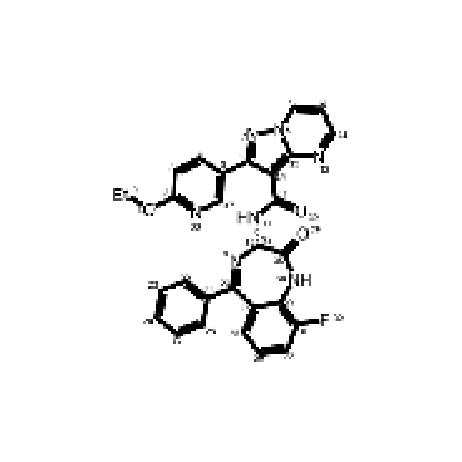 CCOc1ccc(-c2nn3cccnc3c2C(=O)N[C@H]2N=C(c3ccccc3)c3cccc(F)c3NC2=O)cn1